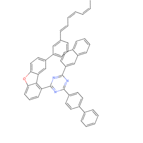 C\C=C/C=C\C=C\c1cccc(-c2ccc3oc4cccc(-c5nc(-c6ccc(-c7ccccc7)cc6)nc(-c6ccc7ccccc7c6)n5)c4c3c2)c1